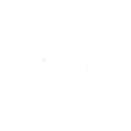 OC(Cl)c1cccc(C(F)(F)F)c1